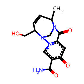 CC1C=CC(CO)N2CN1C(=O)c1cc(=O)c(C(N)=O)cn12